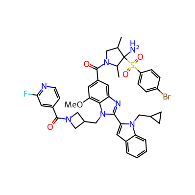 COc1cc(C(=O)N2CC(C)C(N)(S(=O)(=O)c3ccc(Br)cc3)C2C)cc2nc(-c3cc4ccccc4n3CC3CC3)n(CC3CN(C(=O)c4ccnc(F)c4)C3)c12